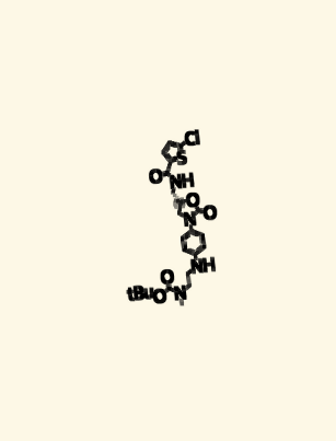 CN(CCNc1ccc(N2C[C@H](CNC(=O)c3ccc(Cl)s3)OC2=O)cc1)C(=O)OC(C)(C)C